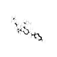 CC(C)(C)OC(=O)N1C[C@@H](NC(=O)c2cn3cc(Cl)cc3cn2)CC[C@@H]1c1nnc(OCCOC(F)(F)F)o1